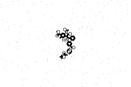 COC(=O)c1cc2c(cc1C)C(=C(Nc1ccc(C(=O)N3CCN(CC(=O)OC(C)(C)C)CC3)cc1)c1ccccc1)C(=O)N2C(C)=O